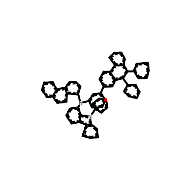 c1ccc(-c2c(-c3ccccc3)c3cc(-c4cccc(N(c5cccc6c5ccc5ccccc56)c5cccc6c7ccccc7n(-c7ccccc7)c56)c4)ccc3c3ccccc23)cc1